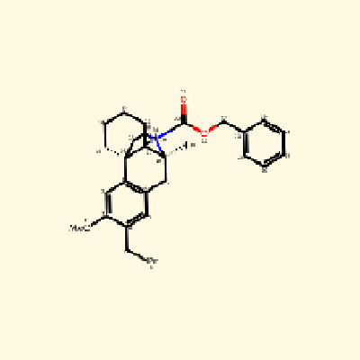 COc1cc2c(cc1CC(C)C)C[C@H]1[C@H]3CCCC[C@@]23CCN1C(=O)OCc1ccccc1